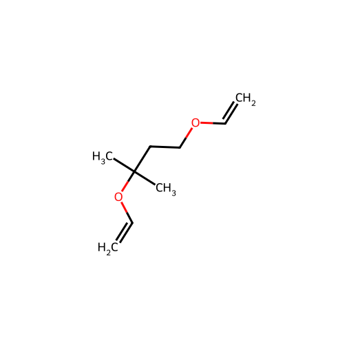 C=COCCC(C)(C)OC=C